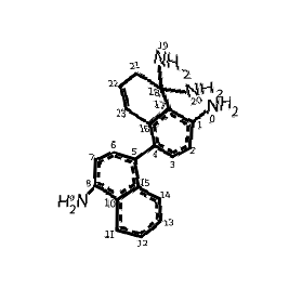 Nc1ccc(-c2ccc(N)c3ccccc23)c2c1C(N)(N)CC=C2